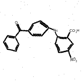 O=C(c1ccccc1)c1ccc(Nc2ccc([N+](=O)[O-])cc2C(=O)O)cc1